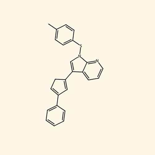 Cc1ccc(Sn2cc(C3=CC(c4ccccc4)=CC3)c3cccnc32)cc1